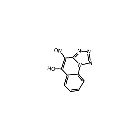 O=Nc1c(O)c2ccccc2n2nnnc12